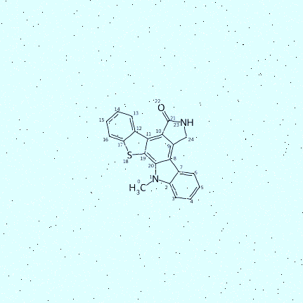 Cn1c2ccccc2c2c3c(c4c5ccccc5sc4c21)C(=O)NC3